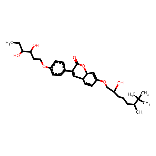 CCC(O)C(O)CCOc1ccc(C2=CC3C=CC(OCC(O)CCCC(C)C(C)(C)C)=CC3OC2=O)cc1